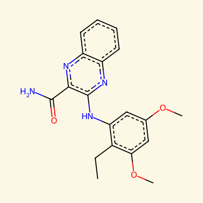 CCc1c(Nc2nc3ccccc3nc2C(N)=O)cc(OC)cc1OC